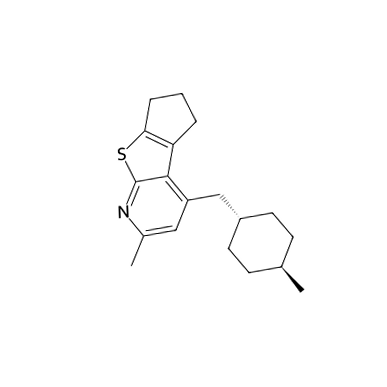 Cc1cc(C[C@H]2CC[C@H](C)CC2)c2c3c(sc2n1)CCC3